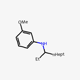 CCCCCCCC(CC)Nc1cccc(OC)c1